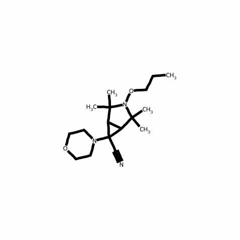 CCCON1C(C)(C)C2C(C1(C)C)C2(C#N)N1CCOCC1